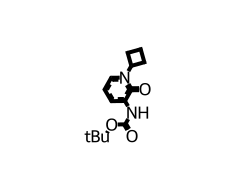 CC(C)(C)OC(=O)Nc1cccn(C2CCC2)c1=O